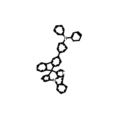 C1#CCCC(N(c2ccccc2)c2ccc(-c3ccc4c(c3)-c3ccccc3C43c4ccccc4-n4c5ccccc5c5cccc3c54)cc2)=C1